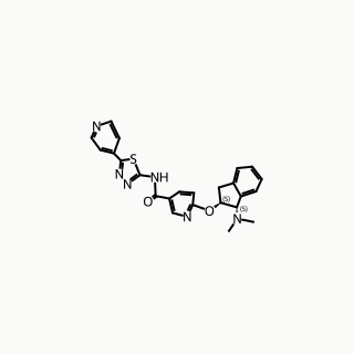 CN(C)[C@H]1c2ccccc2C[C@@H]1Oc1ccc(C(=O)Nc2nnc(-c3ccncc3)s2)cn1